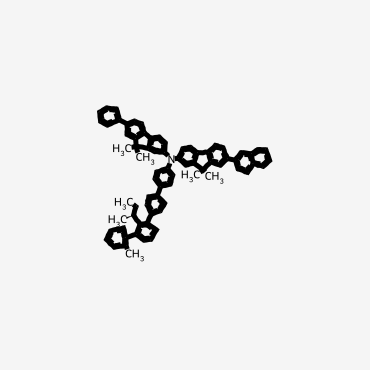 CC[C@@H](C)c1c(-c2ccc(-c3ccc(N(c4ccc5c(c4)C(C)(C)c4cc(-c6ccccc6)ccc4-5)c4ccc5c(c4)C(C)(C)c4cc(-c6ccc7ccccc7c6)ccc4-5)cc3)cc2)cccc1-c1ccccc1C